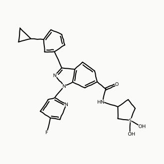 O=C(NC1CCS(O)(O)C1)c1ccc2c(-c3cccc(C4CC4)c3)nn(-c3ccc(F)cn3)c2c1